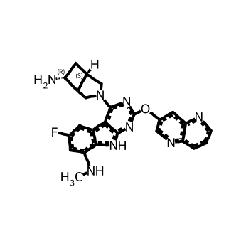 CNc1cc(F)cc2c1[nH]c1nc(Oc3cnc4cccnc4c3)nc(N3CC4[C@H](C[C@H]4N)C3)c12